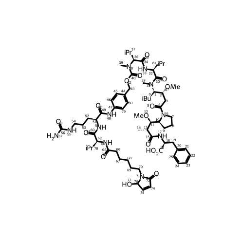 CC[C@H](C)[C@@H]([C@@H](CC(=O)N1CCC[C@H]1[C@H](OC)[C@@H](C)C(=O)N[C@@H](Cc1ccccc1)C(=O)O)OC)N(C)C(=O)[C@@H](NC(=O)[C@H](C(C)C)N(C)C(=O)OCc1ccc(NC(=O)[C@H](CCCNC(N)=O)NC(=O)[C@@H](NC(=O)CCCCCN2C(=O)C=CC2O)C(C)C)cc1)C(C)C